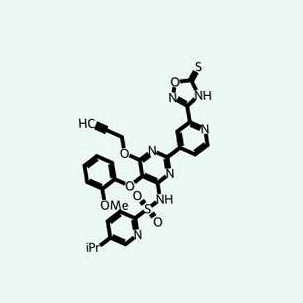 C#CCOc1nc(-c2ccnc(-c3noc(=S)[nH]3)c2)nc(NS(=O)(=O)c2ccc(C(C)C)cn2)c1Oc1ccccc1OC